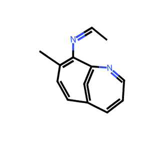 C/C=N\C1=C(C)C=CC2=C=C1N=CC=C2